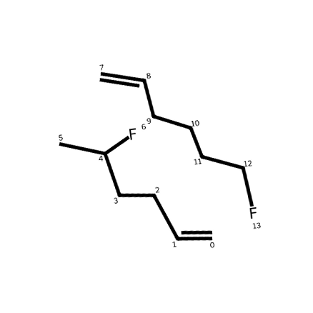 C=CCCC(C)F.C=CCCCCF